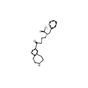 O=C(CCCN(Cc1ccccn1)C(=O)C(F)(F)F)c1ccc2c(c1)CCNCC2